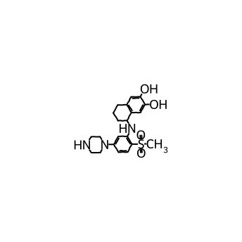 CS(=O)(=O)c1ccc(N2CCNCC2)cc1NC1CCCc2cc(O)c(O)cc21